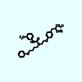 CCOC(Cc1ccc(OCCN(CCCCOc2ccccc2)C(=O)Nc2cccc(C(F)(F)F)c2)cc1)C(=O)O